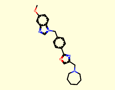 COc1ccc2c(c1)ncn2Cc1ccc(-c2nc(CN3CCCCCC3)co2)cc1